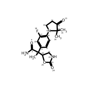 CC(C(N)=O)(c1ccc(N2CCC(=O)C2(C)C)c(F)c1)C1CNC(=O)O1